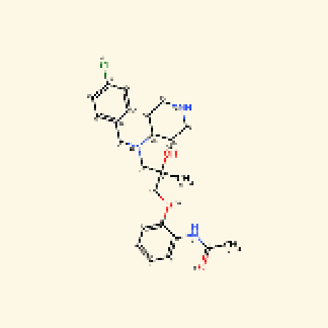 CC(=O)Nc1ccccc1OC[C@@](C)(O)CN(Cc1ccc(Cl)cc1)C1CCNCC1